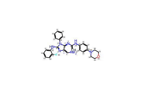 C=C(/N=C1\C(=C/N)N=C(Nc2ccccc2F)N1c1ccccc1)Nc1ccc(N2CCOCC2)cc1